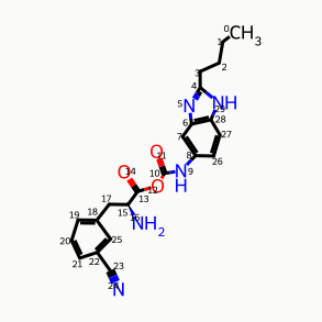 CCCCc1nc2cc(NC(=O)OC(=O)[C@@H](N)Cc3cccc(C#N)c3)ccc2[nH]1